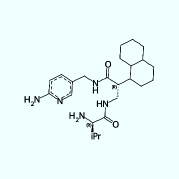 CC(C)[C@@H](N)C(=O)NC[C@H](C(=O)NCc1ccc(N)nc1)C1CCCC2CCCCC21